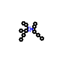 c1ccc(-c2ccc(-c3ccc4c(c3)c3cc5ccccc5cc3n4-c3nc(-c4ccc5ccccc5c4)c4cc(-c5ccccc5)c(-c5ccc(-c6ccccc6)cc5)cc4n3)cc2)cc1